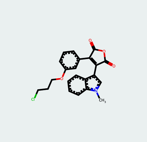 Cn1cc(C2=C(c3cccc(OCCCCl)c3)C(=O)OC2=O)c2ccccc21